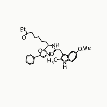 CCC(=O)CCCCCC(NC(=O)Cc1c(C)[nH]c2ccc(OC)cc12)c1ncc(-c2ccccc2)o1